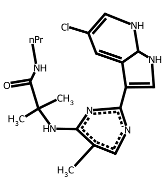 CCCNC(=O)C(C)(C)Nc1nc(C2=CNC3NC=C(Cl)C=C23)ncc1C